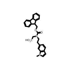 Cn1ccc2ccc(CCN(CC(=O)O)C(=O)OCC3c4ccccc4-c4ccccc43)cc21